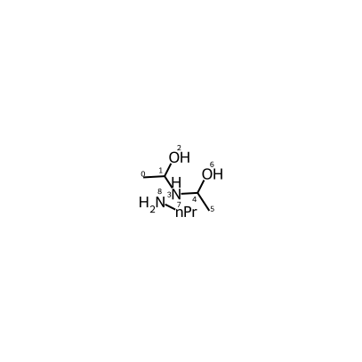 CC(O)NC(C)O.CCCN